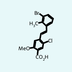 COc1cc(C=Cc2cccc(Br)c2C)c(Cl)cc1C(=O)O